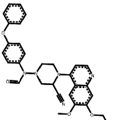 CCOc1cc2nccc(N3CCN(N(C=O)c4ccc(Oc5ccccc5)cc4)CC3C#N)c2cc1OC